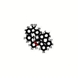 CCc1ccc2cccc3c2c1C1(c2ccccc2-c2ccc(N(c4ccccc4-c4ccccc4)c4cccc5c4-c4ccccc4C5(C)C)cc21)c1ccccc1-3